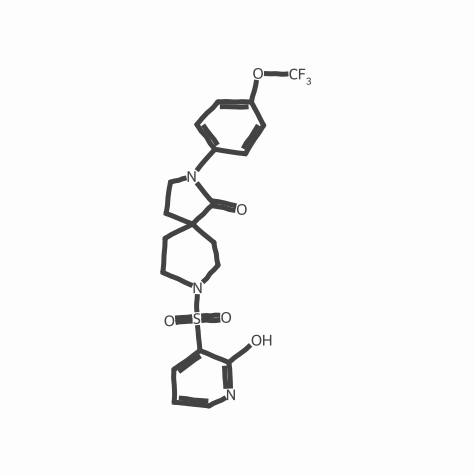 O=C1N(c2ccc(OC(F)(F)F)cc2)CCC12CCN(S(=O)(=O)c1cccnc1O)CC2